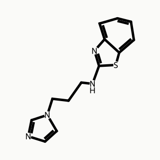 c1ccc2sc(NCCCn3ccnc3)nc2c1